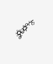 CC(Cl)CCOc1ccc(Oc2ccccc2[C]=O)cc1